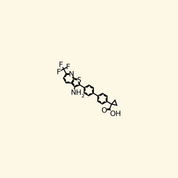 Nc1c(-c2ccc(-c3ccc(C4(C(=O)O)CC4)cc3)cc2)sc2nc(C(F)(F)F)ccc12